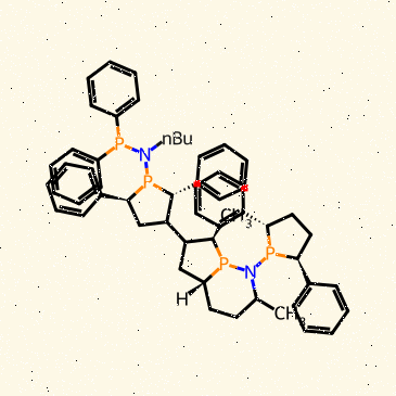 CCCCN(P(c1ccccc1)c1ccccc1)P1[C@H](c2ccccc2)C(C2C[C@H]3CCC(C)N(P4[C@H](c5ccccc5)CC[C@H]4c4ccccc4)P3[C@@H]2C)C[C@H]1c1ccccc1